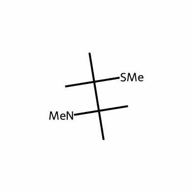 CNC(C)(C)C(C)(C)SC